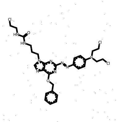 O=C(NCCCl)NCCCn1cnc2c(OCc3ccccc3)nc(/N=N/c3ccc(N(CCCl)CCCl)cc3)nc21